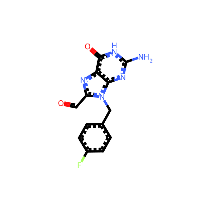 Nc1nc2c(nc(C=O)n2Cc2ccc(F)cc2)c(=O)[nH]1